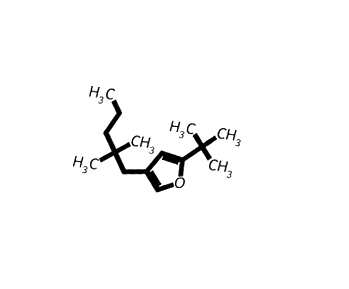 CCCC(C)(C)Cc1coc(C(C)(C)C)c1